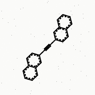 C(#Cc1ccc2ccccc2c1)c1[c]cc2ccccc2c1